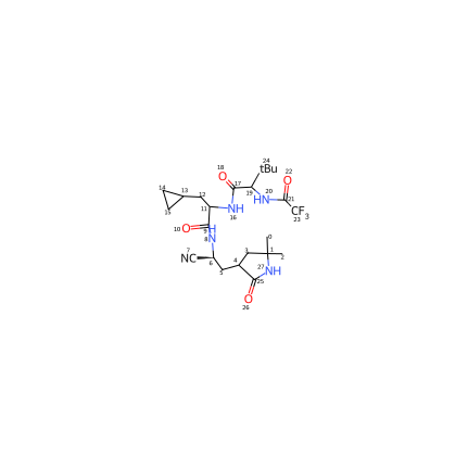 CC1(C)CC(C[C@@H](C#N)NC(=O)C(CC2CC2)NC(=O)C(NC(=O)C(F)(F)F)C(C)(C)C)C(=O)N1